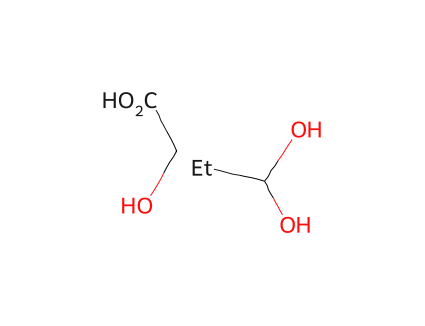 CCC(O)O.O=C(O)CO